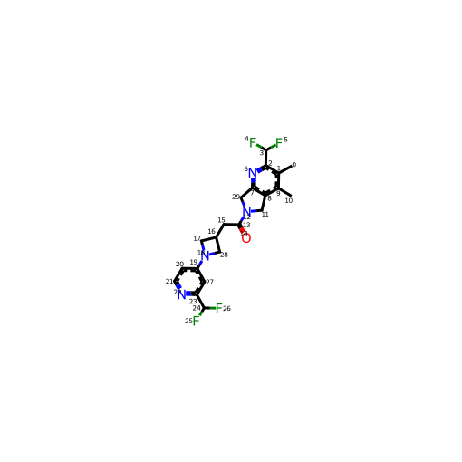 Cc1c(C(F)F)nc2c(c1C)CN(C(=O)CC1CN(c3ccnc(C(F)F)c3)C1)C2